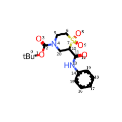 CC(C)(C)OC(=O)N1CCS(=O)(=O)C(C(=O)Nc2ccccc2)C1